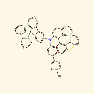 CC(C)(C)c1ccc(-c2ccc(N(c3ccc4c(c3)-c3ccccc3C4(c3ccccc3)c3ccccc3)c3ccc4ccccc4c3-c3cccc4sc5ccccc5c34)cc2)cc1